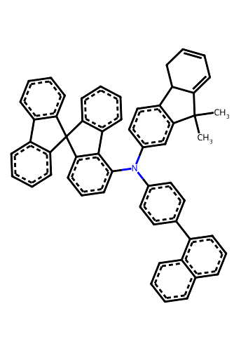 CC1(C)C2=CC=CCC2c2ccc(N(c3ccc(-c4cccc5ccccc45)cc3)c3cccc4c3-c3ccccc3C43c4ccccc4-c4ccccc43)cc21